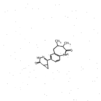 CC1Cc2cc(C3=NNC(=O)C4CC34)ccc2NC(=O)C1C